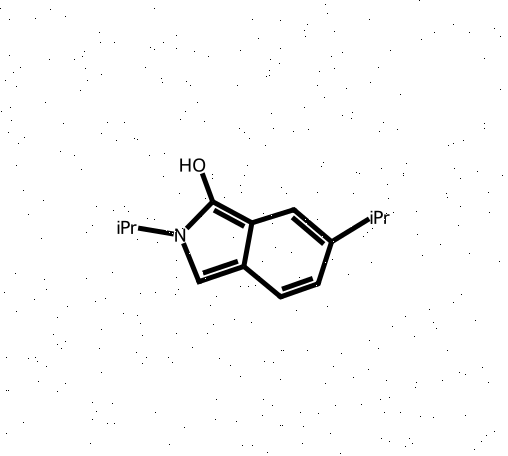 CC(C)c1ccc2cn(C(C)C)c(O)c2c1